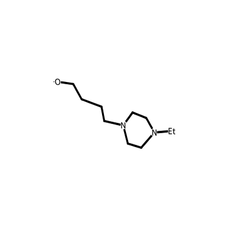 CCN1CCN(CCCC[O])CC1